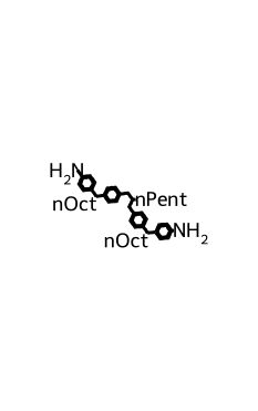 CCCCCCCCC(c1ccc(N)cc1)c1ccc(CC(CCCCC)Cc2ccc(C(CCCCCCCC)c3ccc(N)cc3)cc2)cc1